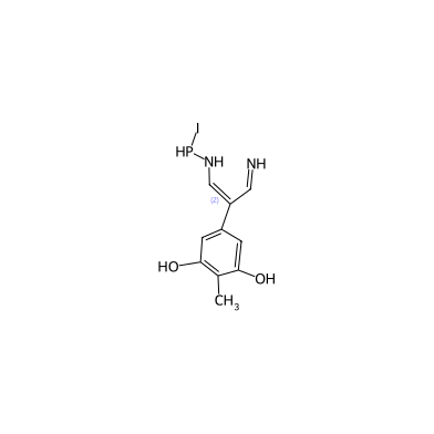 Cc1c(O)cc(/C(C=N)=C/NPI)cc1O